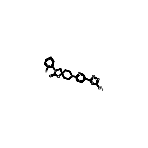 O=C1OC2(CCN(c3ccc(-c4noc(C(F)(F)F)n4)cn3)CC2)CN1c1ccccc1F